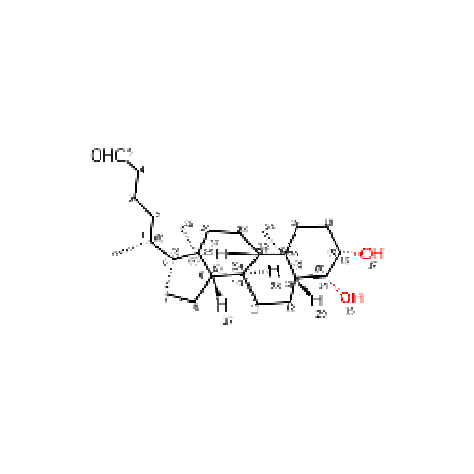 C[C@H](CCCC=O)[C@H]1CC[C@H]2[C@@H]3CC[C@H]4[C@@H](O)[C@@H](O)CC[C@]4(C)[C@H]3CC[C@]12C